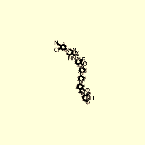 N#Cc1ccc(N2CCc3c(ncnc3Nc3ccc(C(=O)N4CCN(C5CCN(c6ccc7c(c6)C(=O)N(C6CCC(=O)NC6=O)C7)CC5)CC4)c(F)n3)C2)cc1Cl